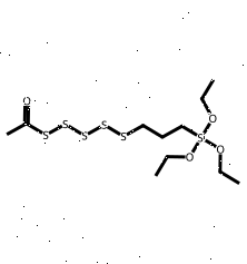 CCO[Si](CCCSSSSSC(C)=O)(OCC)OCC